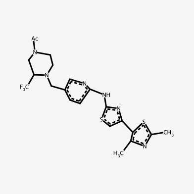 CC(=O)N1CCN(Cc2ccc(Nc3nc(-c4sc(C)nc4C)cs3)nc2)C(C(F)(F)F)C1